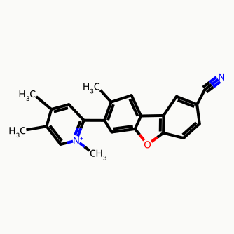 Cc1cc(-c2cc3oc4ccc(C#N)cc4c3cc2C)[n+](C)cc1C